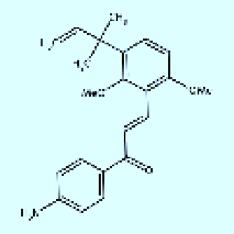 C=CC(C)(C)c1ccc(OC)c(C=CC(=O)c2ccc(N)cc2)c1OC